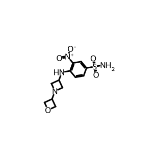 NS(=O)(=O)c1ccc(NC2CN(C3COC3)C2)c([N+](=O)[O-])c1